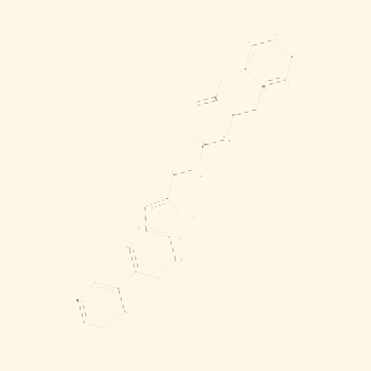 CC(=O)C(Cc1ccccc1)NC(=O)OCc1cc2cc(-c3ccccc3)ccc2o1